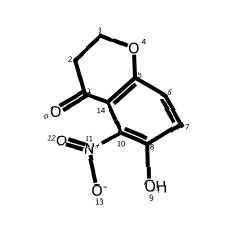 O=C1CCOc2ccc(O)c([N+](=O)[O-])c21